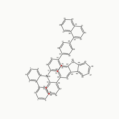 c1ccc(-c2ccccc2N(c2ccc(-c3ccc(-c4cccc5ccccc45)cc3)cc2)c2ccccc2-c2ccc3oc4ccccc4c3c2)cc1